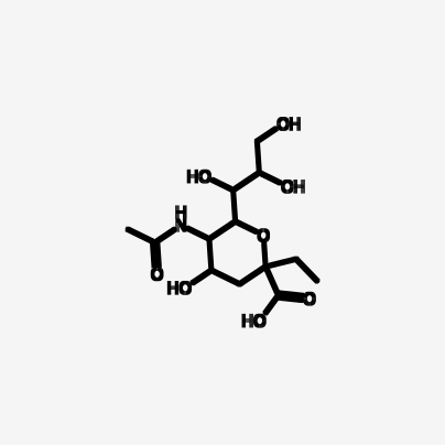 CCC1(C(=O)O)CC(O)C(NC(C)=O)C(C(O)C(O)CO)O1